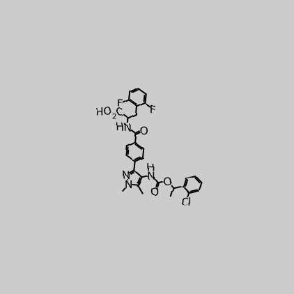 Cc1c(NC(=O)OC(C)c2ccccc2Cl)c(-c2ccc(C(=O)NC(Cc3c(F)cccc3F)C(=O)O)cc2)nn1C